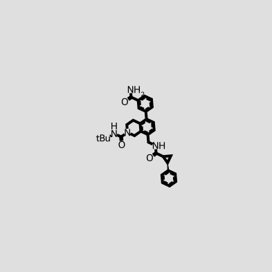 CC(C)(C)NC(=O)N1CCc2c(-c3cccc(C(N)=O)c3)ccc(CNC(=O)C3C[C@H]3c3ccccc3)c2C1